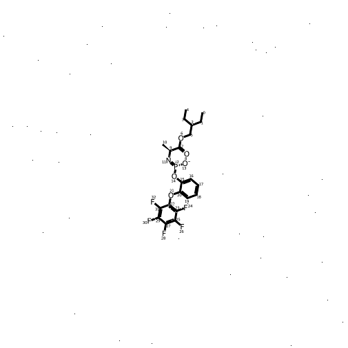 CCC(CC)COC(=O)[C@H](C)N=[P+]([O-])Oc1ccccc1Oc1c(F)c(F)c(F)c(F)c1F